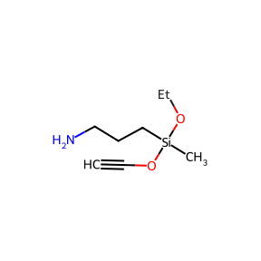 C#CO[Si](C)(CCCN)OCC